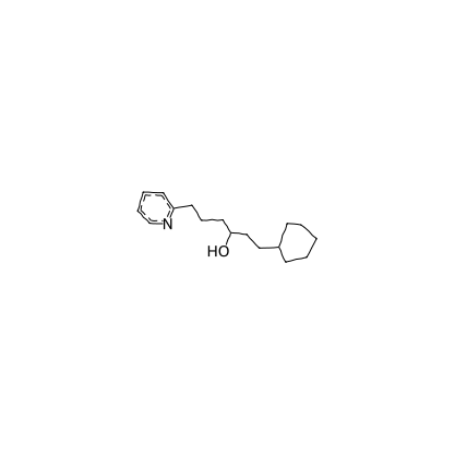 OC(CCCc1ccccn1)CCC1CCCCC1